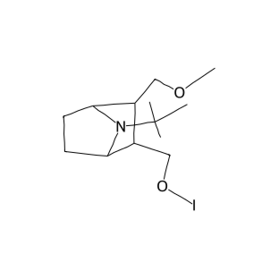 COCC1C(COI)C2CCC1N2C(C)(C)C